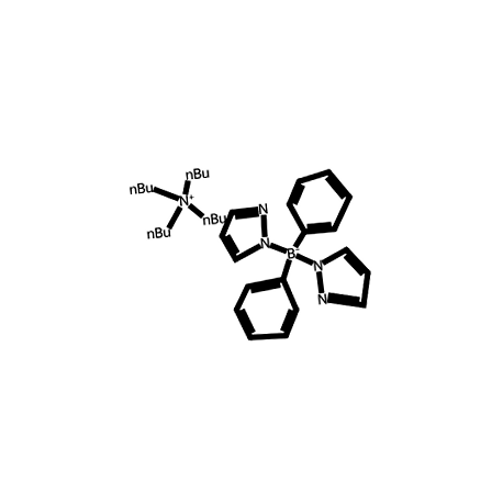 CCCC[N+](CCCC)(CCCC)CCCC.c1ccc([B-](c2ccccc2)(n2cccn2)n2cccn2)cc1